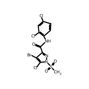 CS(=O)(=O)n1nc(C(=O)Nc2ccc(Cl)cc2Cl)c(Br)c1Cl